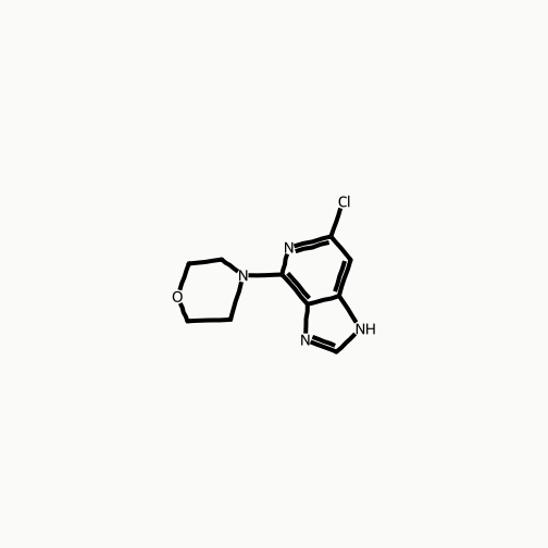 Clc1cc2[nH]cnc2c(N2CCOCC2)n1